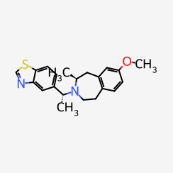 COc1ccc2c(c1)C[C@H](C)N([C@H](C)c1ccc3scnc3c1)CC2